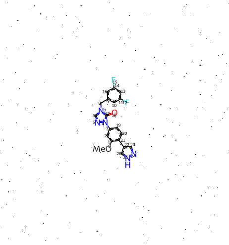 COc1cc(-n2ncn(Cc3cc(F)cc(F)c3)c2=O)ccc1-c1cn[nH]c1